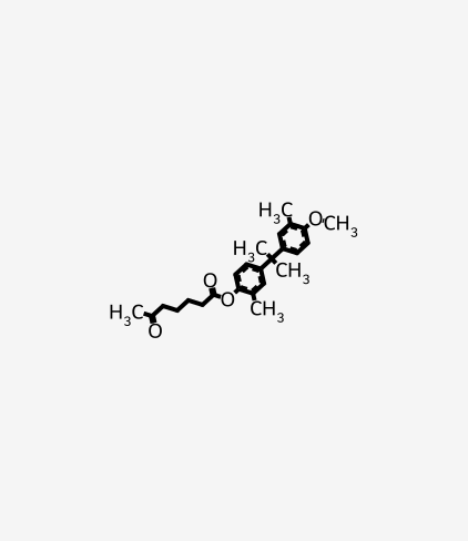 COc1ccc(C(C)(C)c2ccc(OC(=O)CCCCC(C)=O)c(C)c2)cc1C